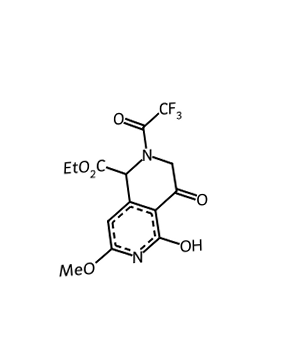 CCOC(=O)C1c2cc(OC)nc(O)c2C(=O)CN1C(=O)C(F)(F)F